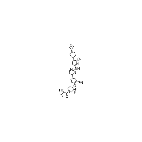 COc1nc(Nc2nccc(-c3ccc(OC4CCN(C(=O)[C@H](O)C(C)C)CC4(F)F)c(C#N)c3)n2)ccc1C1CCN(C2COC2)CC1